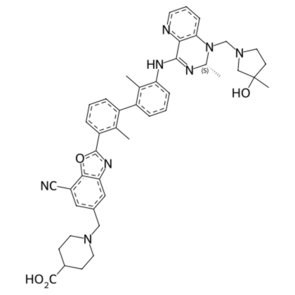 Cc1c(NC2=N[C@@H](C)N(CN3CCC(C)(O)C3)c3cccnc32)cccc1-c1cccc(-c2nc3cc(CN4CCC(C(=O)O)CC4)cc(C#N)c3o2)c1C